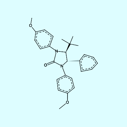 COc1ccc(N2C(=O)N(c3ccc(OC)cc3)[C@@H](C(C)(C)C)[C@@H]2c2ccccc2)cc1